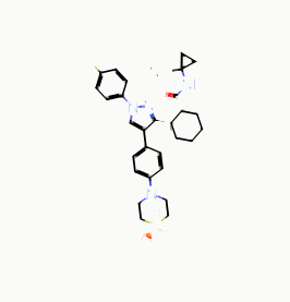 C[SH]1(=O)CCN(c2ccc(-c3cn(-c4ccc(F)cc4)nc3[C@@H]3CCCC[C@H]3C(=O)NC3(C#N)CC3)cc2)CC1